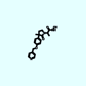 CC(C(=O)NO)N1CCC(C)(c2ccc(OCc3ccncc3)cc2)C1=O